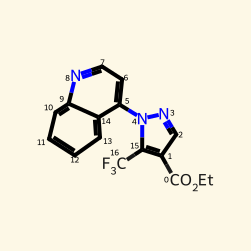 CCOC(=O)c1cnn(-c2ccnc3ccccc23)c1C(F)(F)F